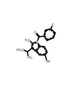 Cc1c(C(C)C(=O)O)c2cc(O)ccc2n1C(=O)c1cccc(F)c1